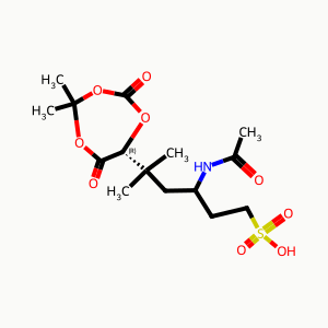 CC(=O)NC(CCS(=O)(=O)O)CC(C)(C)[C@H]1OC(=O)OC(C)(C)OC1=O